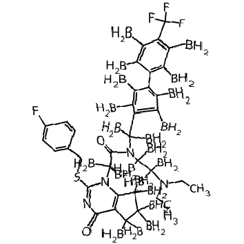 Bc1c(B)c(C(F)(F)F)c(B)c(B)c1-c1c(B)c(B)c(C(B)(B)N(C(=O)C(B)(B)n2c(SCc3ccc(F)cc3)nc(=O)c3c2C(B)(B)C(B)(B)C3(B)B)C(B)(B)C(B)(B)N(CC)CC)c(B)c1B